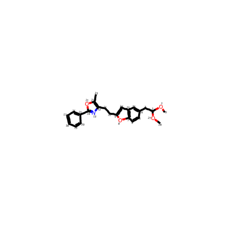 COC(Cc1ccc2oc(CCc3nc(-c4ccccc4)oc3C)cc2c1)OC